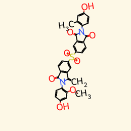 C=C1c2cc(S(=O)(=O)c3ccc4c(c3)C(=O)N(c3ccc(O)cc3C)C4=O)ccc2C(=O)N1c1ccc(O)cc1OC